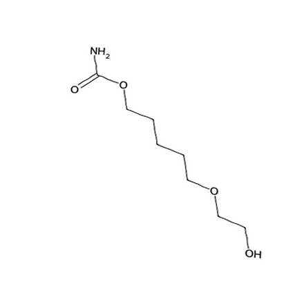 NC(=O)OCCCCCOCCO